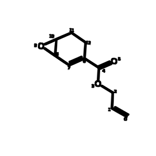 C=CCOC(=O)C1=CC2OC2CC1